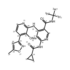 [2H]C([2H])([2H])NC(=O)c1cnc(NC(=O)C2CC2)cc1Nc1nccc(-c2noc(C)n2)c1OC